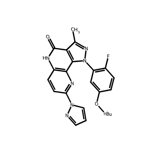 CCCCOc1ccc(F)c(-n2nc(C)c3c(=O)[nH]c4ccc(-n5cccn5)nc4c32)c1